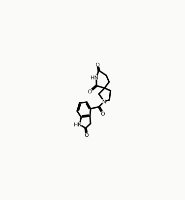 O=C1CCC2(CCN(C(=O)c3cccc4c3CC(=O)N4)C2)C(=O)N1